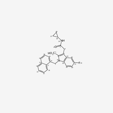 O=C(Cc1c(C(=O)O)n(Cc2cccc3ccccc23)c2ccc(F)cc12)NC1CC1